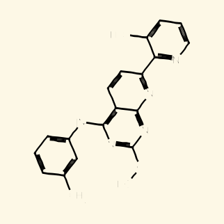 [CH2]c1cccc(Nc2nc(OC)nc3nc(-c4ncccc4C)ccc23)c1